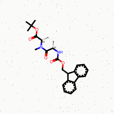 C[C@H](NC(=O)OCC1c2ccccc2-c2ccccc21)C(=O)N(C)[C@@H](C)C(=O)OC(C)(C)C